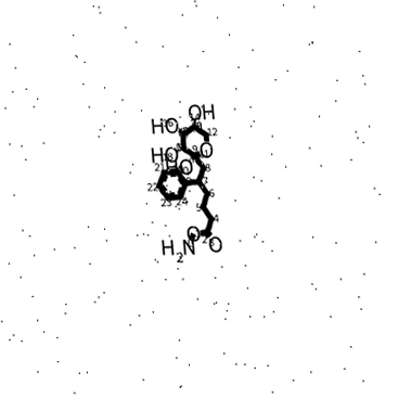 NOC(=O)CCCC(C[C@@]1(O)OC[C@@H](O)[C@H](O)[C@H]1O)c1ccccc1